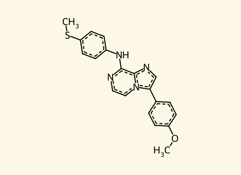 COc1ccc(-c2cnc3c(Nc4ccc(SC)cc4)nccn23)cc1